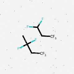 CC(F)(F)CC(F)(F)F.FC(F)CC(F)(F)F